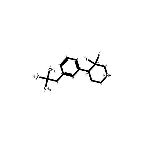 CC(C)(C)Cc1cccc(C2CCNCC2(F)F)c1